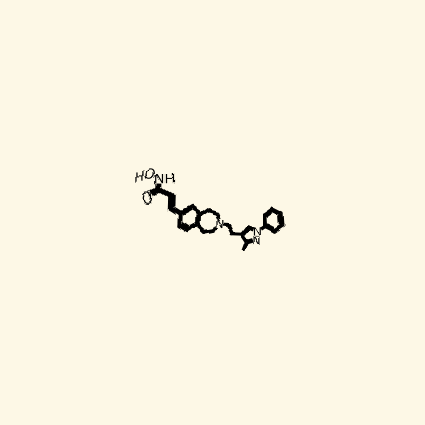 Cc1nn(-c2ccccc2)cc1CCN1CCc2ccc(C=CC(=O)NO)cc2CC1